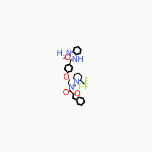 Nc1ccccc1NC(=O)c1ccc(OCCN(CN2CCCCC2C(F)(F)F)C(=O)c2cc3ccccc3o2)cc1